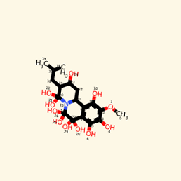 COc1c(O)c(O)c2c(c1O)C1CC(O)C(CC(C)C)C(O)(O)N1C(O)(O)C2(O)O